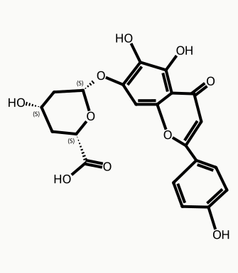 O=C(O)[C@@H]1C[C@H](O)C[C@H](Oc2cc3oc(-c4ccc(O)cc4)cc(=O)c3c(O)c2O)O1